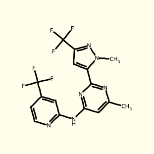 Cc1cc(Nc2cc(C(F)(F)F)ccn2)nc(-c2cc(C(F)(F)F)nn2C)n1